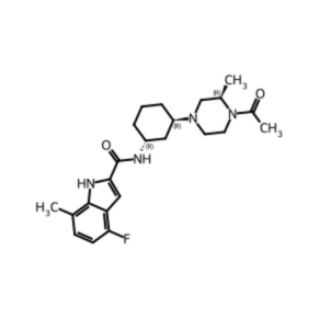 CC(=O)N1CCN([C@@H]2CCC[C@@H](NC(=O)c3cc4c(F)ccc(C)c4[nH]3)C2)C[C@H]1C